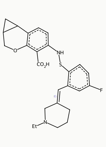 CCN1CCC/C(=C\c2cc(F)ccc2SNc2ccc3c(c2C(=O)O)OCC2CC32)C1